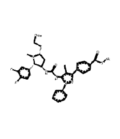 COCC[C@@H]1C[C@@H](NC(=O)Nc2c(C)c(-c3ccc(C(=O)OC(C)(C)C)cc3)nn2-c2ccccc2)[C@H](c2ccc(F)c(F)c2)N1C